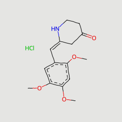 COc1cc(OC)c(OC)cc1C=C1CC(=O)CCN1.Cl